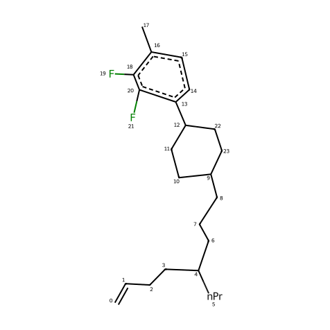 C=CCCC(CCC)CCCC1CCC(c2ccc(C)c(F)c2F)CC1